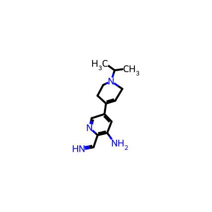 CC(C)N1CC=C(c2cnc(C=N)c(N)c2)CC1